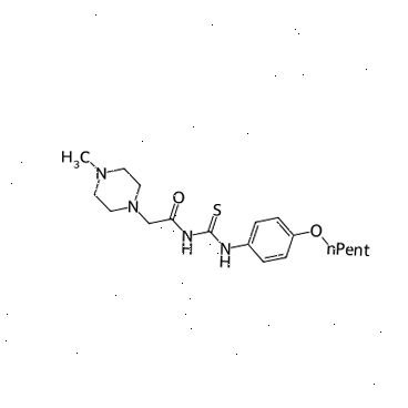 CCCCCOc1ccc(NC(=S)NC(=O)CN2CCN(C)CC2)cc1